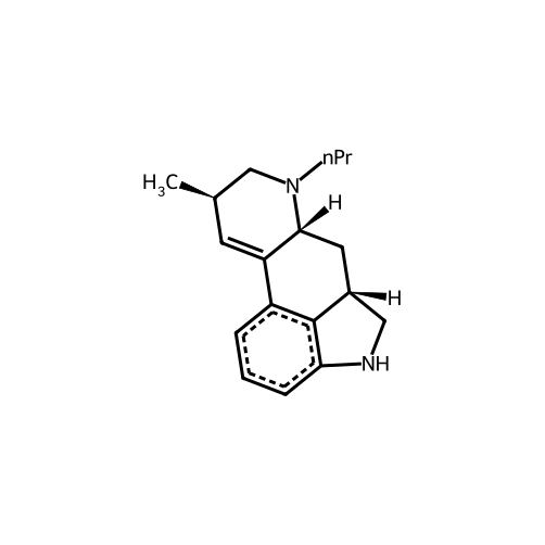 CCCN1C[C@H](C)C=C2c3cccc4c3[C@@H](CN4)C[C@H]21